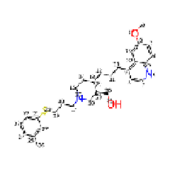 COc1ccc2nccc(CCC[C@@H]3CCN(CCCSc4cccc(C)c4)C[C@@H]3CO)c2c1